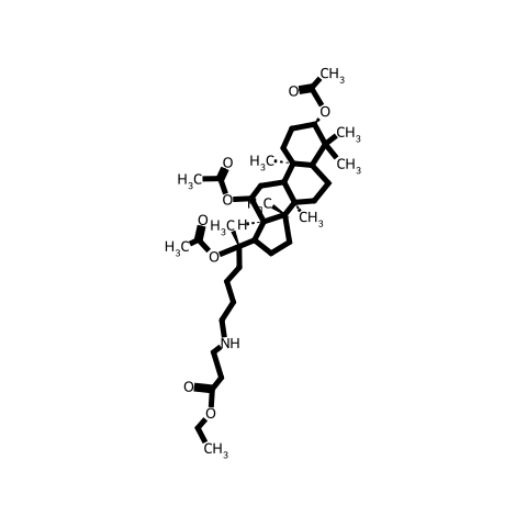 CCOC(=O)CCNCCCC[C@](C)(OC(C)=O)C1CC[C@]2(C)[C@@H]1C(OC(C)=O)CC1[C@@]3(C)CC[C@H](OC(C)=O)C(C)(C)C3CC[C@]12C